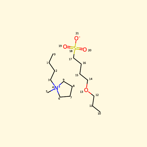 CCCC[N+]1(C)CCCC1.CCCOCCCCS(=O)(=O)[O-]